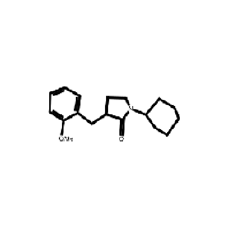 COc1ccccc1CC1CCN(C2CCCCC2)C1=O